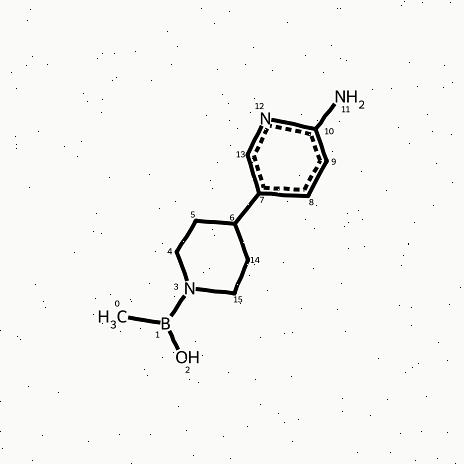 CB(O)N1CCC(c2ccc(N)nc2)CC1